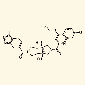 CCOc1cc(C(=O)N2C[C@@H]3[C@H]4CN(C(=O)C5=CCc6[nH]nnc6C5)C[C@H]4[C@@H]3C2)nc2cc(Cl)ccc12